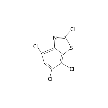 Clc1nc2c(Cl)cc(Cl)c(Cl)c2s1